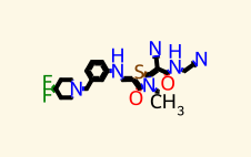 CCn1c(=C(C#N)C(=O)NCC#N)sc(=CNc2cccc(CN3CCC(F)(F)CC3)c2)c1=O